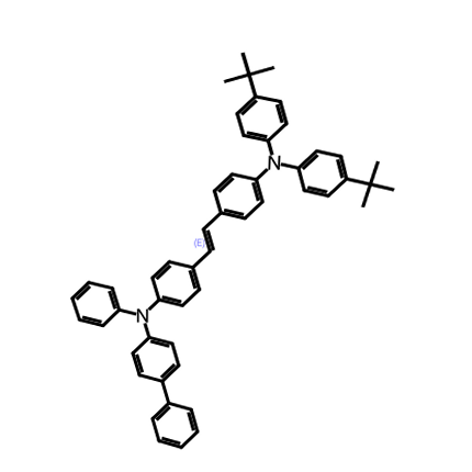 CC(C)(C)c1ccc(N(c2ccc(/C=C/c3ccc(N(c4ccccc4)c4ccc(-c5ccccc5)cc4)cc3)cc2)c2ccc(C(C)(C)C)cc2)cc1